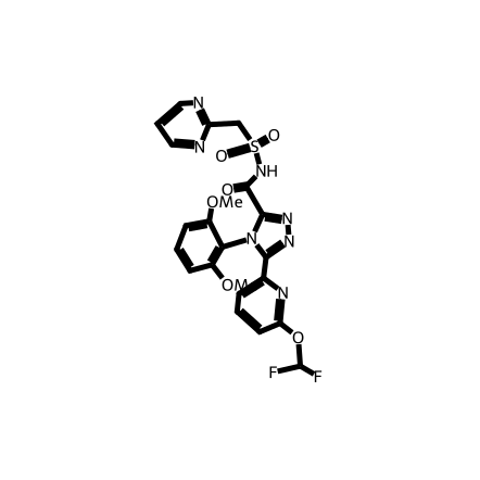 COc1cccc(OC)c1-n1c(C(=O)NS(=O)(=O)Cc2ncccn2)nnc1-c1cccc(OC(F)F)n1